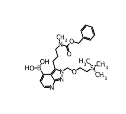 CN(CCCc1c2c(B(O)O)ccnc2nn1COCC[Si](C)(C)C)C(=O)OCc1ccccc1